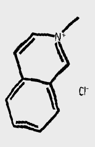 C[n+]1ccc2ccccc2c1.[Cl-]